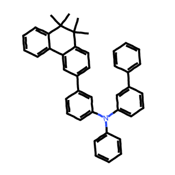 CC1(C)c2ccccc2-c2cc(-c3cccc(N(c4ccccc4)c4cccc(-c5ccccc5)c4)c3)ccc2C1(C)C